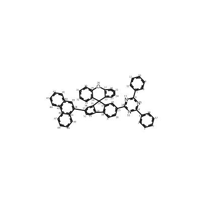 c1ccc(-c2nc(-c3ccccc3)nc(-c3ccc4c(c3)C3(c5ccccc5Oc5ccccc53)c3cc(-c5cc6ccccc6c6ccccc56)ccc3-4)n2)cc1